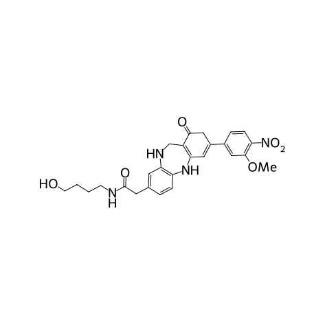 COc1cc(C2=CC3=C(CNc4cc(CC(=O)NCCCCO)ccc4N3)C(=O)C2)ccc1[N+](=O)[O-]